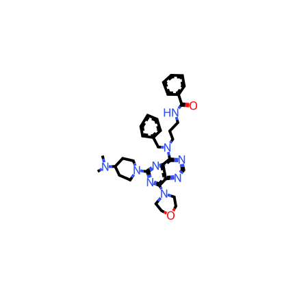 CN(C)C1CCN(c2nc(N3CCOCC3)c3ncnc(N(CCCNC(=O)c4ccccc4)Cc4ccccc4)c3n2)CC1